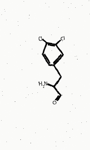 NC([C]=O)Cc1ccc(Cl)c(Cl)c1